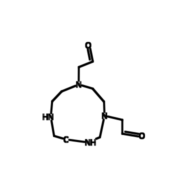 O=CCN1CCNCCNCN(CC=O)CC1